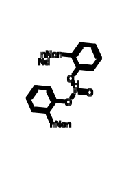 CCCCCCCCCc1ccccc1O[PH](=O)Oc1ccccc1CCCCCCCCC.[Nd]